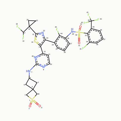 O=S1(=O)CC2(CC(Nc3nccc(-c4sc(C5(C(F)F)CC5)nc4-c4cccc(NS(=O)(=O)c5c(F)cccc5C(F)(F)F)c4F)n3)C2)C1